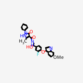 COc1ccc2c(Oc3ccc(C(O)CNC(=O)c4c(C)[nH]n(-c5ccccc5)c4=O)cc3F)ccnc2c1